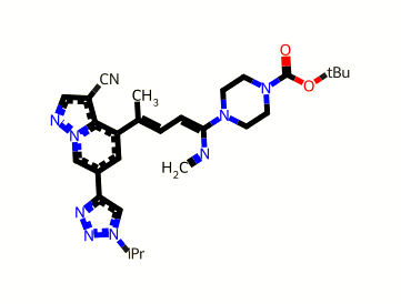 C=N/C(=C\C=C(/C)c1cc(-c2cn(C(C)C)nn2)cn2ncc(C#N)c12)N1CCN(C(=O)OC(C)(C)C)CC1